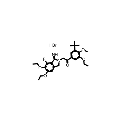 Br.CCOc1cc(C(=O)CN2Cc3cc(OCC)c(OCC)c(F)c3C2=N)cc(C(C)(C)C)c1OC